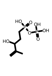 C=C(C)C(O)CCP(=O)(O)OP(=O)(O)O